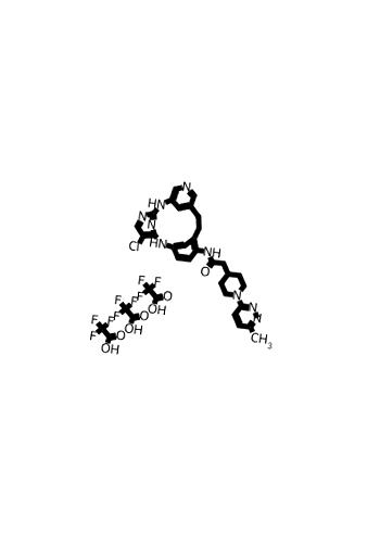 Cc1ccc(N2CCC(CC(=O)Nc3ccc4cc3CCc3cncc(c3)Nc3ncc(Cl)c(n3)N4)CC2)nn1.O=C(O)C(F)(F)F.O=C(O)C(F)(F)F.O=C(O)C(F)(F)F